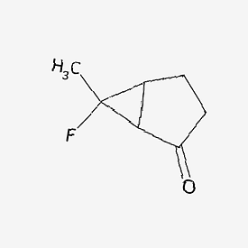 CC1(F)C2CCC(=O)C21